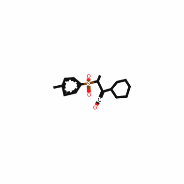 Cc1ccc(S(=O)(=O)C(C)C(=C=O)C2CCCCC2)cc1